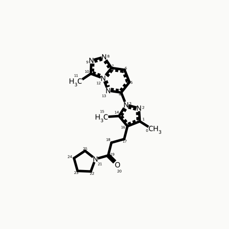 Cc1nn(-c2ccc3nnc(C)n3n2)c(C)c1CCC(=O)N1CCCC1